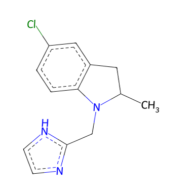 CC1Cc2cc(Cl)ccc2N1Cc1ncc[nH]1